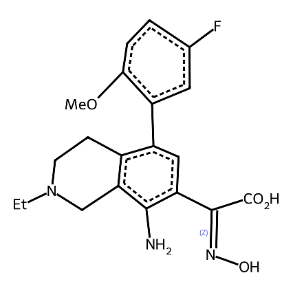 CCN1CCc2c(-c3cc(F)ccc3OC)cc(/C(=N/O)C(=O)O)c(N)c2C1